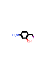 Nc1ccc(CI)c(O)c1